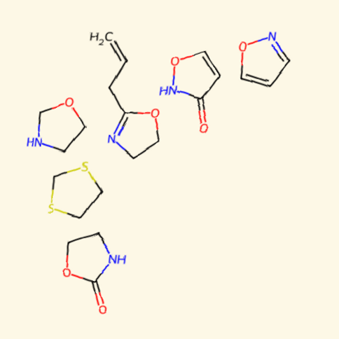 C1COCN1.C1CSCS1.C=CCC1=NCCO1.O=C1NCCO1.O=c1cco[nH]1.c1cnoc1